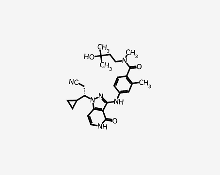 Cc1cc(Nc2nn([C@@H](CC#N)C3CC3)c3cc[nH]c(=O)c23)ccc1C(=O)N(C)CCC(C)(C)O